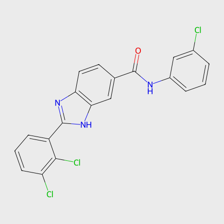 O=C(Nc1cccc(Cl)c1)c1ccc2nc(-c3cccc(Cl)c3Cl)[nH]c2c1